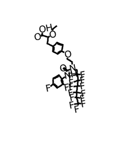 CCOC(Cc1ccc(OCCN(CC(F)(F)C(F)(F)C(F)(F)C(F)(F)C(F)(F)C(F)(F)F)C(=O)Nc2ccc(F)cc2F)cc1)C(=O)O